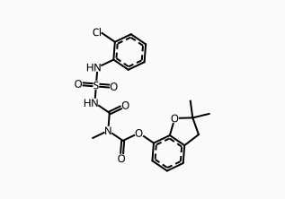 CN(C(=O)NS(=O)(=O)Nc1ccccc1Cl)C(=O)Oc1cccc2c1OC(C)(C)C2